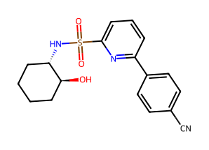 N#Cc1ccc(-c2cccc(S(=O)(=O)N[C@H]3CCCC[C@@H]3O)n2)cc1